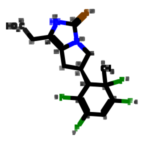 CC1(F)C(F)=CC(F)=C(F)C1[C@H]1Cc2c(CC(=O)O)[nH]c(=S)n2C1